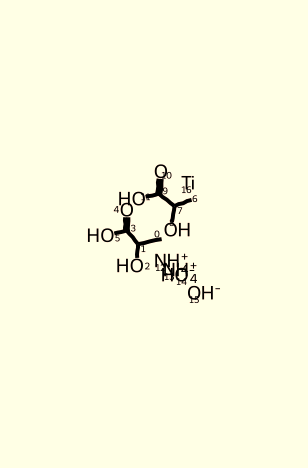 CC(O)C(=O)O.CC(O)C(=O)O.[NH4+].[NH4+].[OH-].[OH-].[Ti]